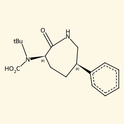 CC(C)(C)N(C(=O)O)[C@@H]1CC[C@H](c2ccccc2)CNC1=O